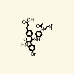 CC(=O)N(CCN(C)C)c1ccc(NC(=C2C(=O)Nc3cc(Br)ccc32)c2ccc(CCC(=O)O)cc2)cc1